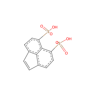 O=S(=O)(O)c1ccc2c3c(ccc(S(=O)(=O)O)c13)C=C2